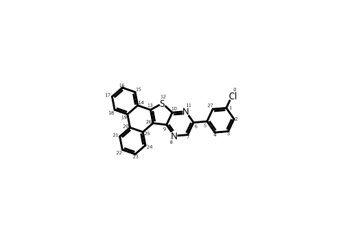 Clc1cccc(-c2cnc3c(n2)sc2c4ccccc4c4ccccc4c32)c1